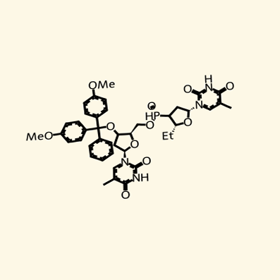 CC[C@H]1O[C@@H](n2cc(C)c(=O)[nH]c2=O)CC1[PH](=O)OC[C@H]1O[C@@H](n2cc(C)c(=O)[nH]c2=O)CC1OC(c1ccccc1)(c1ccc(OC)cc1)c1ccc(OC)cc1